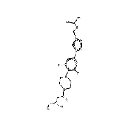 O=C(C[C@H](O)CO)N1CCN(c2c(F)cc(-n3cc(CNC(O)=S)nn3)cc2F)CC1